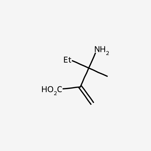 C=C(C(=O)O)C(C)(N)CC